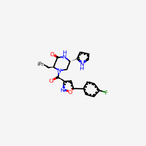 CC(C)C[C@H]1C(=O)N[C@H](c2ccc[nH]2)CN1C(=O)c1cc(-c2ccc(F)cc2)on1